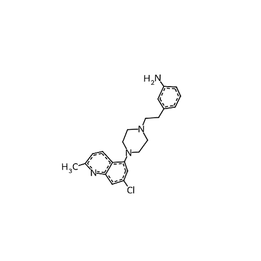 Cc1ccc2c(N3CCN(CCc4cccc(N)c4)CC3)cc(Cl)cc2n1